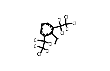 C[CH]c1c(C(Cl)(Cl)C(Cl)(Cl)Cl)cccc1C(Cl)(Cl)C(Cl)(Cl)Cl